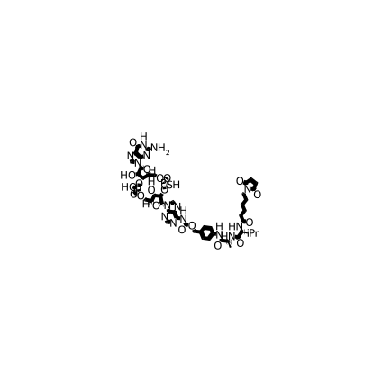 CC(C)[C@H](NC(=O)CCCCCN1C(=O)C=CC1=O)C(=O)N[C@@H](C)C(=O)Nc1ccc(COC(=O)Nc2ncnc3c2ncn3[C@@H]2O[C@@H]3COP(=O)(O)OC4C(O)[C@H](n5cnc6c(=O)[nH]c(N)nc65)O[C@@H]4COP(=O)(S)OC2C3O)cc1